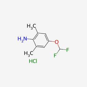 Cc1cc(OC(F)F)cc(C)c1N.Cl